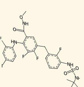 CONC(=O)c1cc(Cc2cccc(NS(=O)(=O)NC3(C)CCC3)c2F)c(F)c(F)c1Nc1ccc(I)cc1F